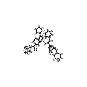 CN(C)S(=O)(=O)NC(=O)c1ccc2c(C3CCCCC3)c3n(c2c1)CC(c1nc(CC2CCOCC2)n(C)n1)=Cc1ccccc1-3